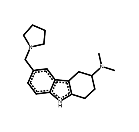 CN(C)C1CCc2[nH]c3ccc(CN4CCCC4)cc3c2C1